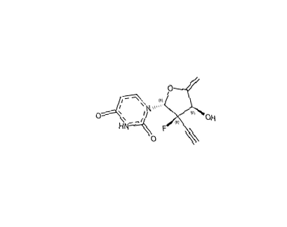 C#C[C@@]1(F)[C@H](O)C(=C)O[C@H]1n1ccc(=O)[nH]c1=O